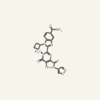 Cn1c(-c2nc3cc(C(N)=O)ccc3n2C2CCC2)nc(C(=O)Nc2cnoc2)c(O)c1=O